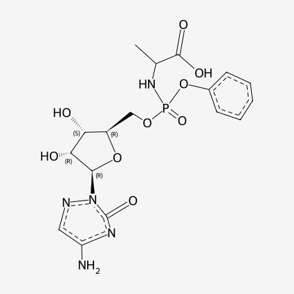 CC(NP(=O)(OC[C@H]1O[C@@H](n2ncc(N)nc2=O)[C@H](O)[C@@H]1O)Oc1ccccc1)C(=O)O